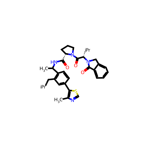 Cc1ncsc1-c1ccc(C(C)NC(=O)[C@@H]2CCCN2C(=O)[C@H](C(C)C)N2Cc3ccccc3C2=O)c(CC(C)C)c1